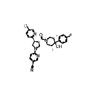 C[C@@H]1CN(C(=O)[C@@H]2CN(c3ccc(C#N)cn3)C[C@H]2c2ccc(Cl)cn2)C[C@H](C)C1(O)c1ccc(F)cc1